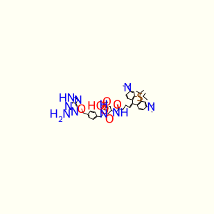 CC(C)S1(C(C)C)c2cc(N(C)C)ccc2C(=CCCC(=O)NC(CS(=O)(=O)O)C(=O)NCc2ccc(COc3nc(N)nc4[nH]cnc34)cc2)c2ccc(N(C)C)cc21